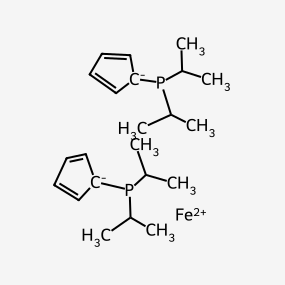 CC(C)P([c-]1cccc1)C(C)C.CC(C)P([c-]1cccc1)C(C)C.[Fe+2]